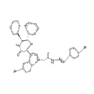 O=C(Cn1cc(C2=N[C@@H](c3ccccc3)[C@H](c3ccccc3)NC2=O)c2cc(Br)ccc21)NN=Cc1ccc(Br)cc1